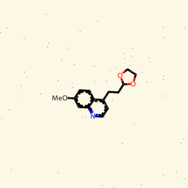 COc1ccc2c(CCC3OCCO3)ccnc2c1